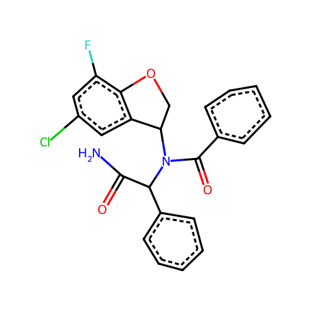 NC(=O)C(c1ccccc1)N(C(=O)c1ccccc1)C1COc2c(F)cc(Cl)cc21